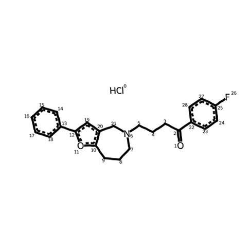 Cl.O=C(CCCN1CCCc2oc(-c3ccccc3)cc2C1)c1ccc(F)cc1